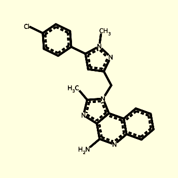 Cc1nc2c(N)nc3ccccc3c2n1Cc1cc(-c2ccc(Cl)cc2)n(C)n1